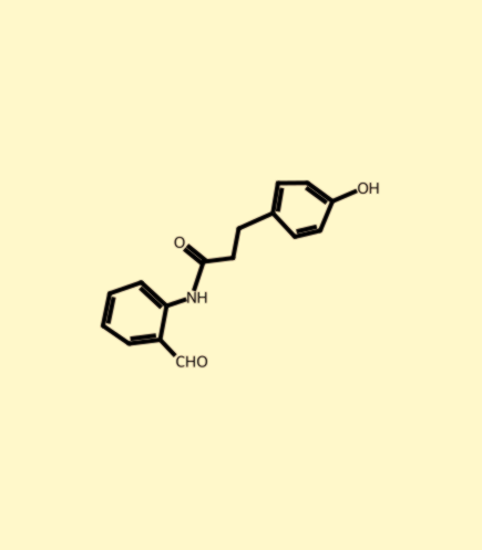 O=Cc1ccccc1NC(=O)CCc1ccc(O)cc1